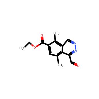 CCOC(=O)c1cc(C)c2c(C=O)nncc2c1C